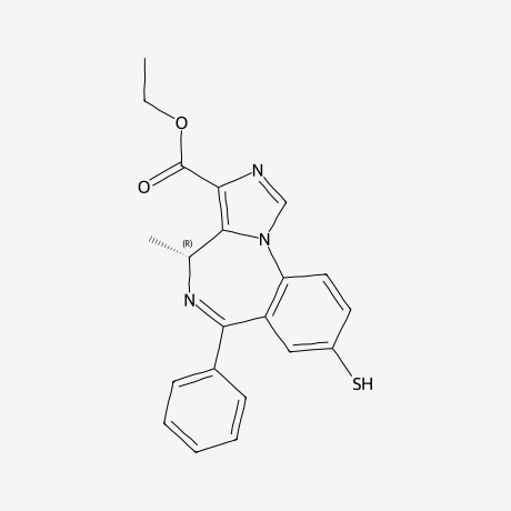 CCOC(=O)c1ncn2c1[C@@H](C)N=C(c1ccccc1)c1cc(S)ccc1-2